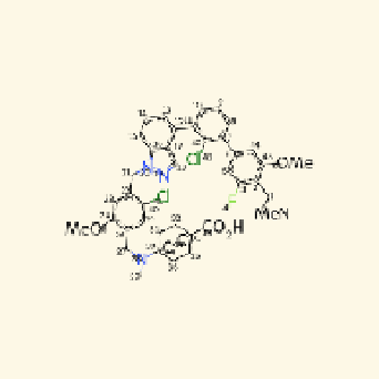 CNCc1c(F)cc(-c2cccc(-c3cccc4c3cnn4Cc3cc(OC)c(CN(C)C45CCC(C(=O)O)(CC4)CC5)cc3Cl)c2Cl)cc1OC